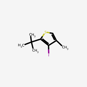 Cc1csc(C(C)(C)C)c1I